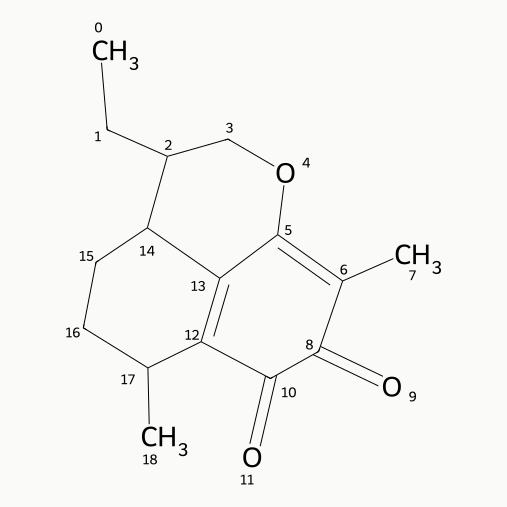 CCC1COC2=C(C)C(=O)C(=O)C3=C2C1CCC3C